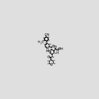 Cc1cc(C#N)ccc1C1=CCNC(C(=O)[C@H]2NC[C@H](CC(=O)N3CCOCC3)C[C@@H]2C(=O)NO)C1